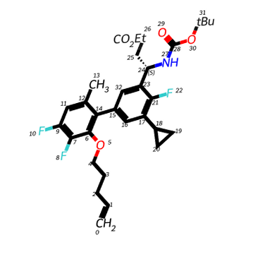 C=CCCCOc1c(F)c(F)cc(C)c1-c1cc(C2CC2)c(F)c([C@H](CC(=O)OCC)NC(=O)OC(C)(C)C)c1